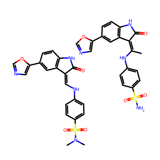 CC(Nc1ccc(S(N)(=O)=O)cc1)=C1C(=O)Nc2ccc(-c3cnco3)cc21.CN(C)S(=O)(=O)c1ccc(NC=C2C(=O)Nc3ccc(-c4cnco4)cc32)cc1